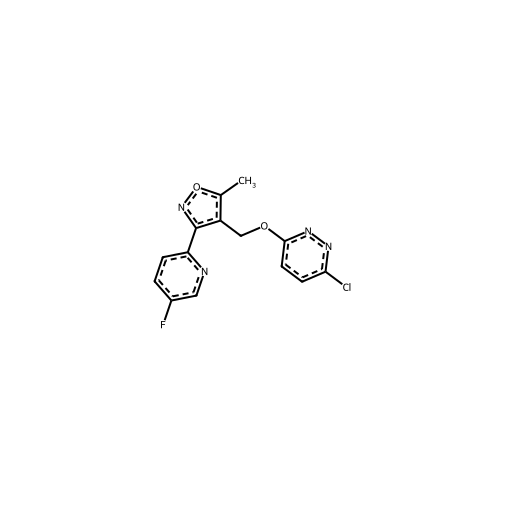 Cc1onc(-c2ccc(F)cn2)c1COc1ccc(Cl)nn1